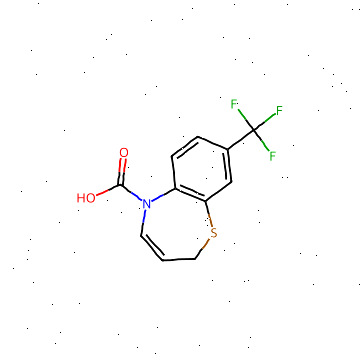 O=C(O)N1C=CCSc2cc(C(F)(F)F)ccc21